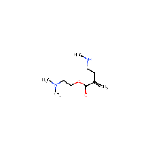 C=C(CCNC)C(=O)OCCN(C)C